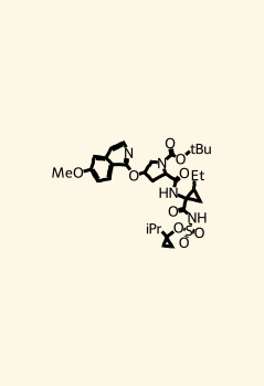 CCC1CC1(NC(=O)C1CC(Oc2nccc3cc(OC)ccc23)CN1C(=O)OC(C)(C)C)C(=O)NS(=O)(=O)OC1(C(C)C)CC1